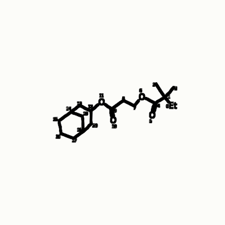 CCC(C)(C)C(=O)OCCC(=O)OC1CC2CCCC(C2)C1